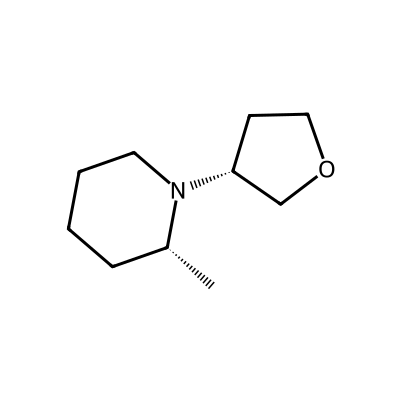 C[C@@H]1CCCCN1[C@@H]1CCOC1